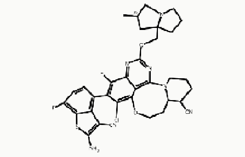 C[C@H]1CN2CCCC2(COc2nc3c4c(c(Cl)c(-c5ccc(F)c6sc(N)c(C#N)c56)c(F)c4n2)OCCC2C(C#N)CCCN32)C1